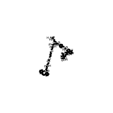 CC[C@@]1(O)C(=O)OCc2c1cc1n(c2=O)Cc2c-1nc1cc(F)c(C)c3c1c2[C@@H](NC(=O)OCc1ccc(NC(=O)[C@H](CCCNC(N)=O)NC(=O)[C@@H](NC(=O)CCOCCOCCOCCOCCNC(=O)CCC(=O)N2Cc4ccccc4C#Cc4ccccc42)C(C)C)cc1)CC3